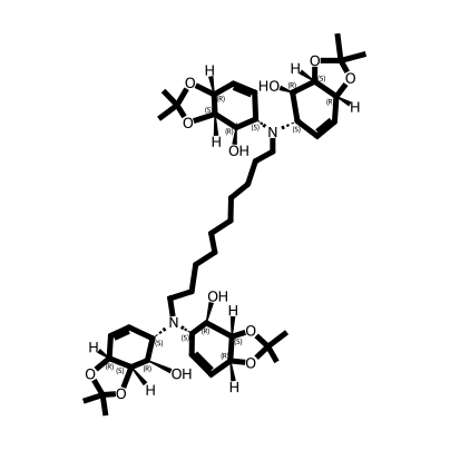 CC1(C)O[C@H]2[C@H](O)[C@@H](N(CCCCCCCCCCN([C@H]3C=C[C@H]4OC(C)(C)O[C@H]4[C@@H]3O)[C@H]3C=C[C@H]4OC(C)(C)O[C@H]4[C@@H]3O)[C@H]3C=C[C@H]4OC(C)(C)O[C@H]4[C@@H]3O)C=C[C@H]2O1